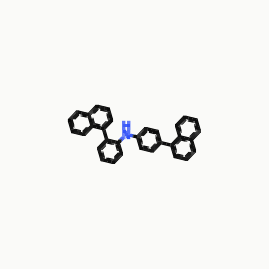 c1ccc(-c2cccc3ccccc23)c(Nc2ccc(-c3cccc4ccccc34)cc2)c1